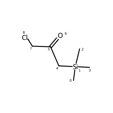 C[Si](C)(C)CC(=O)CCl